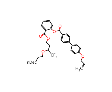 C=CCOc1ccc(-c2ccc(C(=O)Oc3ccccc3C(=O)OCCC(OCCCCCCCCCCCC)C(F)(F)F)cc2)cc1